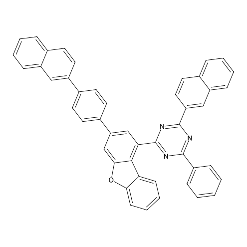 c1ccc(-c2nc(-c3ccc4ccccc4c3)nc(-c3cc(-c4ccc(-c5ccc6ccccc6c5)cc4)cc4oc5ccccc5c34)n2)cc1